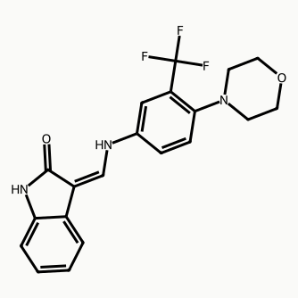 O=C1Nc2ccccc2C1=CNc1ccc(N2CCOCC2)c(C(F)(F)F)c1